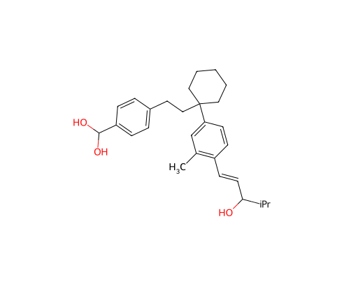 Cc1cc(C2(CCc3ccc(C(O)O)cc3)CCCCC2)ccc1C=CC(O)C(C)C